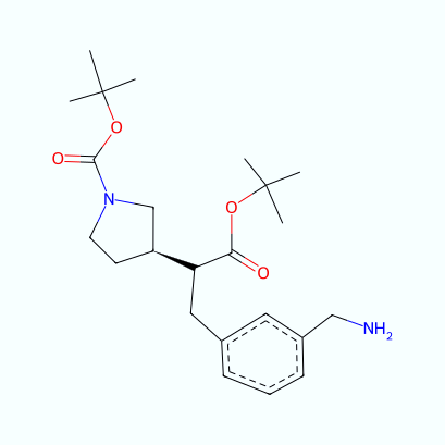 CC(C)(C)OC(=O)C(Cc1cccc(CN)c1)[C@H]1CCN(C(=O)OC(C)(C)C)C1